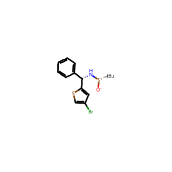 CC(C)(C)[S@+]([O-])N[C@@H](c1ccccc1)c1cc(Br)cs1